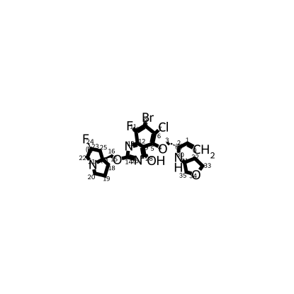 C=C[C@@H](COc1c(Cl)c(Br)c(F)c2nc(OC[C@@]34CCCN3C[C@H](F)C4)nc(O)c12)NC1CCOC1